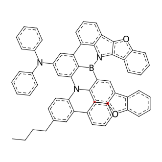 CCCCc1ccc(N2c3cc4oc5ccccc5c4cc3B3c4c(cc(N(c5ccccc5)c5ccccc5)cc42)-c2cccc4c5oc6ccccc6c5n3c24)c(-c2ccccc2)c1